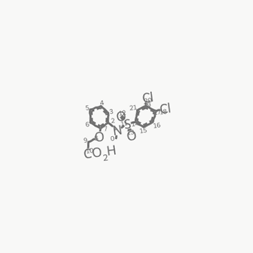 CN(c1ccccc1OCC(=O)O)S(=O)(=O)c1ccc(Cl)c(Cl)c1